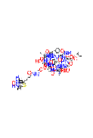 CC[C@H](C)CC(=O)O[C@@H](C)[C@@H](NC(=O)[C@H](CO)NC(=O)[C@@H](NC(=O)[C@H](NC(=O)[C@@H](CCC(N)=O)NC(=O)[C@H](CO)NC(=O)[C@@H](NC(=O)[C@@H](Cc1ccccc1)NC)[C@@H](C)CC)[C@@H](C)CC)[C@@H](C)CC)C(=O)N[C@@H](CC(=O)NCCOCCOCCOCCCNC(=O)CCCC[C@@H]1SC[C@@H]2NC(=O)N[C@@H]21)C(=O)NC